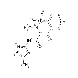 Cc1cc(NC(=O)C2C(=O)c3ccccc3S(=O)(=O)N2C)no1